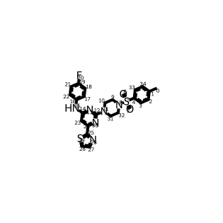 Cc1ccc(S(=O)(=O)N2CCN(c3nc(Nc4ccc(F)cc4)cc(-c4nccs4)n3)CC2)cc1